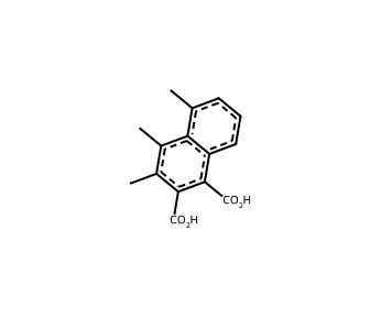 Cc1c(C(=O)O)c(C(=O)O)c2cccc(C)c2c1C